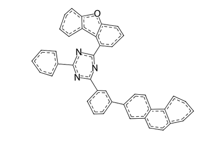 c1ccc(-c2nc(-c3cccc(-c4ccc5c(ccc6ccccc65)c4)c3)nc(-c3cccc4oc5ccccc5c34)n2)cc1